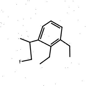 [CH2]C(CF)c1cccc(CC)c1CC